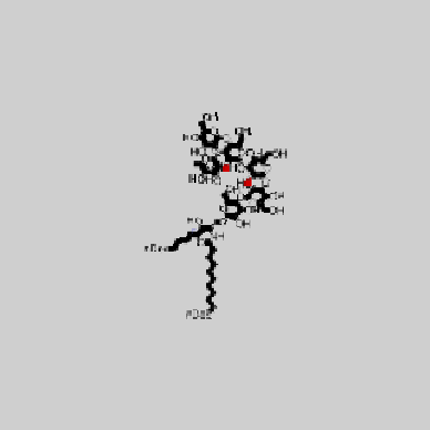 CCCCCCCCCCCCC/C=C/[C@@H](O)[C@H](CO[C@@H]1OC(CO)[C@@H](O[C@@H]2OC(CO)[C@H](O)[C@H](O[C@H]3OC(CO)[C@H](O)[C@H](O[C@@H]4OC(CO)[C@@H](O[C@@H]5OC(CO)[C@H](O)[C@H](O)C5O)[C@H](O[C@H]5OC(C)[C@@H](O)C(O)[C@@H]5O)C4NC(C)=O)C3O)C2O)[C@H](O)C1O)NC(=O)CCCCCCCCCCCCCCCCCCC